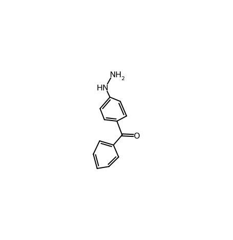 NNc1ccc(C(=O)c2ccccc2)cc1